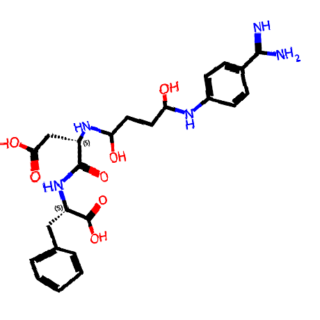 N=C(N)c1ccc(NC(O)CCC(O)N[C@@H](CC(=O)O)C(=O)N[C@@H](Cc2ccccc2)C(=O)O)cc1